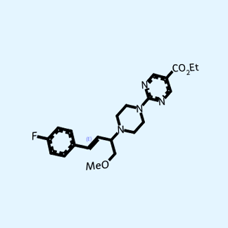 CCOC(=O)c1cnc(N2CCN(C(/C=C/c3ccc(F)cc3)COC)CC2)nc1